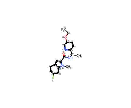 C[C@@H](NC(=O)c1cc2ccc(F)cc2n1C)c1ccc(OCC(F)(F)F)cn1